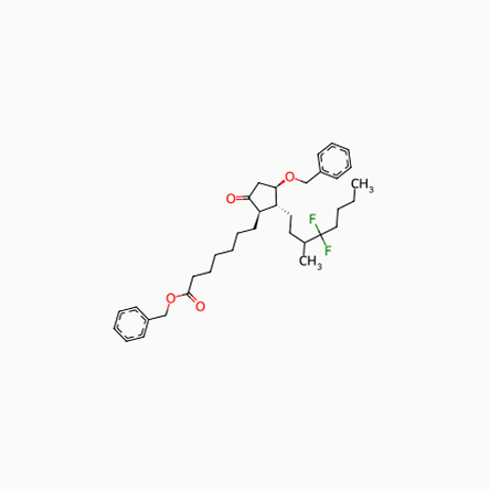 CCCCC(F)(F)C(C)CC[C@H]1[C@H](OCc2ccccc2)CC(=O)[C@@H]1CCCCCCC(=O)OCc1ccccc1